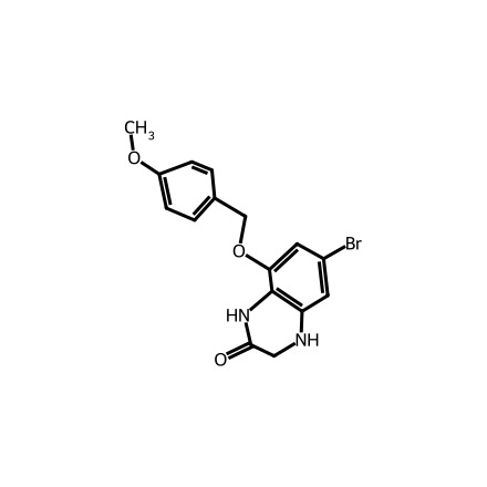 COc1ccc(COc2cc(Br)cc3c2NC(=O)CN3)cc1